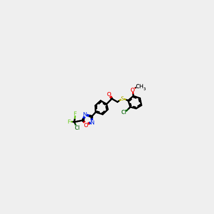 COc1cccc(Cl)c1SCC(=O)c1ccc(-c2noc(C(F)(F)Cl)n2)cc1